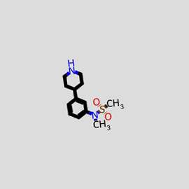 CN(c1cccc(C2CCNCC2)c1)S(C)(=O)=O